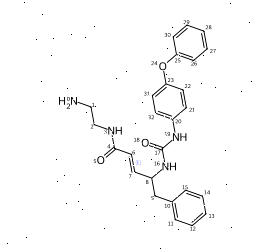 NCCNC(=O)/C=C/C(Cc1ccccc1)NC(=O)Nc1ccc(Oc2ccccc2)cc1